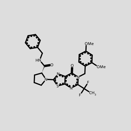 COc1ccc(Cn2c(C(C)(F)F)nc3sc(N4CCC[C@@H]4C(=O)NCc4ccccc4)nc3c2=O)c(OC)c1